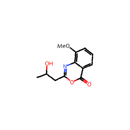 COc1cccc2c(=O)oc(CC(C)O)nc12